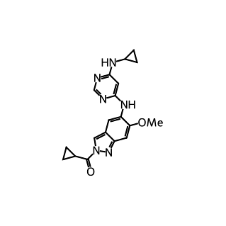 COc1cc2nn(C(=O)C3CC3)cc2cc1Nc1cc(NC2CC2)ncn1